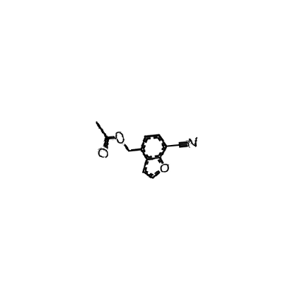 CC(=O)OCc1ccc(C#N)c2occc12